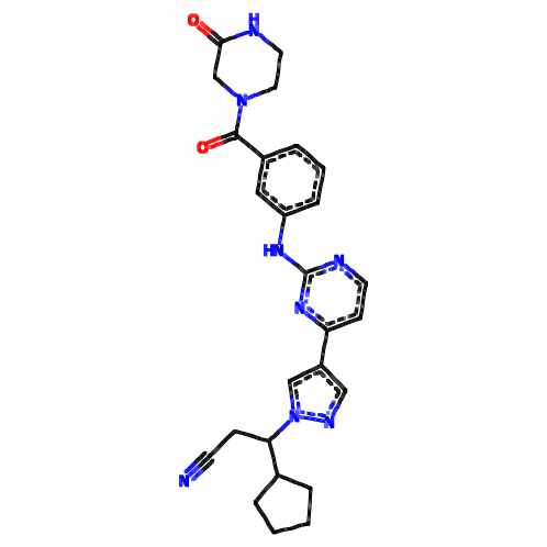 N#CCC(C1CCCC1)n1cc(-c2ccnc(Nc3cccc(C(=O)N4CCNC(=O)C4)c3)n2)cn1